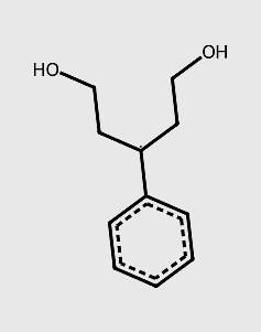 OCC[C](CCO)c1ccccc1